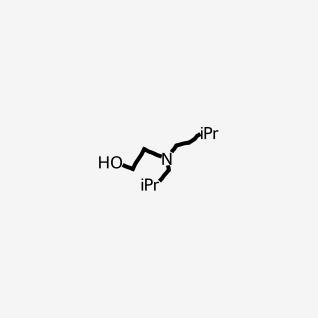 CC(C)CCN(CCO)CC(C)C